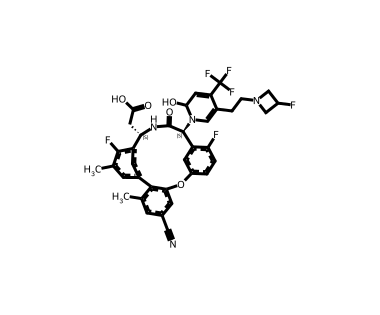 Cc1cc2cc(c1F)[C@H](CC(=O)O)NC(=O)[C@@H](N1C=C(CCN3CC(F)C3)C(C(F)(F)F)=CC1O)c1cc(ccc1F)Oc1cc(C#N)cc(C)c1-2